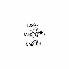 C=C(CC)c1cc(N)c(NC/C(C=N)=C/NC)c(OC)c1